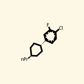 CCC[C@H]1CC[C@H](c2ccc(Cl)c(F)c2)CC1